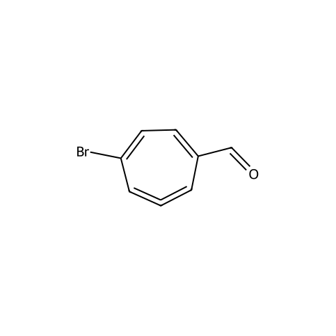 O=CC1=CC=C(Br)C=C=C1